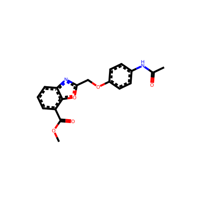 COC(=O)c1cccc2nc(COc3ccc(NC(C)=O)cc3)oc12